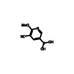 COc1ncc(B(O)O)cc1C#N